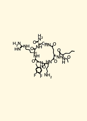 CCCCC(NC(C)=O)C(=O)N[C@H]1CCC(=O)NCC[C@@H](C(N)=O)NC(=O)[C@H](CCCNC(=N)N)NC(=O)[C@@H](Cc2ccc(F)c(F)c2)NC(=O)[C@H](CCCN)NC1=O